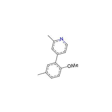 COc1ccc(C)cc1-c1ccnc(C)c1